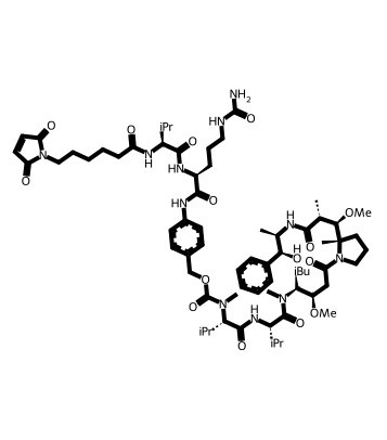 CC[C@H](C)[C@@H]([C@@H](CC(=O)N1CCC[C@@]1(C)[C@H](OC)[C@@H](C)C(=O)N[C@H](C)[C@@H](O)c1ccccc1)OC)N(C)C(=O)[C@@H](NC(=O)[C@H](C(C)C)N(C)C(=O)OCc1ccc(NC(=O)[C@H](CCCNC(N)=O)NC(=O)[C@@H](NC(=O)CCCCCN2C(=O)C=CC2=O)C(C)C)cc1)C(C)C